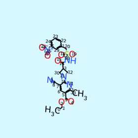 CCOC(=O)c1cc(C#N)c(N2CC(C(=O)NS(=O)(=O)Cc3cccc([N+](=O)[O-])c3)C2)nc1C